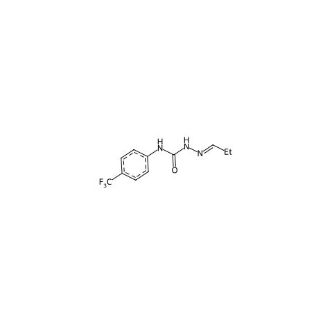 CCC=NNC(=O)Nc1ccc(C(F)(F)F)cc1